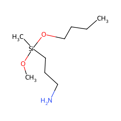 CCCCO[Si](C)(CCCN)OC